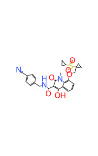 Cn1c(=O)c(C(=O)NCc2ccc(C#N)cc2)c(O)c2cccc(OCC3(S(=O)(=O)C4CC4)CC3)c21